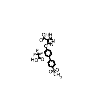 CS(=O)(=O)c1ccc(-c2ccc(Oc3nn[nH]c3C(=O)O)cc2)cc1.O=C(O)C(F)(F)F